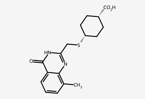 Cc1cccc2c(=O)[nH]c(CS[C@H]3CC[C@@H](C(=O)O)CC3)nc12